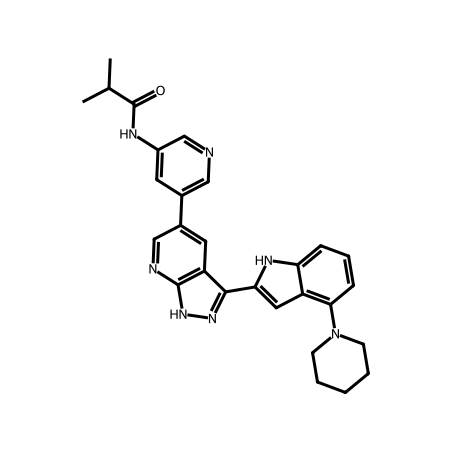 CC(C)C(=O)Nc1cncc(-c2cnc3[nH]nc(-c4cc5c(N6CCCCC6)cccc5[nH]4)c3c2)c1